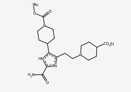 CCOC(=O)C1CCN(CCc2nc(C(N)=O)[nH]c2C2CCN(C(=O)OC(C)(C)C)CC2)CC1